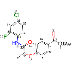 COC(=O)c1ccc(OC(C)C(=O)Nc2ccc(Cl)cc2F)cc1